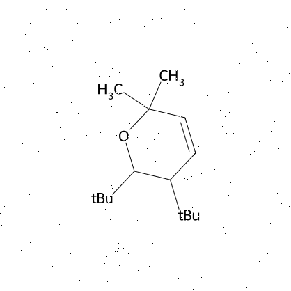 CC1(C)C=CC(C(C)(C)C)C(C(C)(C)C)O1